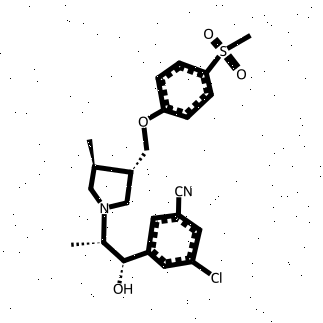 C[C@@H]1CN([C@@H](C)[C@@H](O)c2cc(Cl)cc(C#N)c2)C[C@H]1COc1ccc(S(C)(=O)=O)cc1